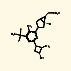 Cc1c(N2CC3[C@H](CC(=O)O)[C@H]3C2)nc(N2C[C@@H](O)[C@@H]2C)nc1C(C)(F)F